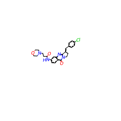 O=C(CCN1CCOCC1)Nc1ccc2c(=O)n3c(nc2c1)C(=Cc1ccc(Cl)cc1)CC3